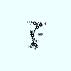 F.F.NC1CCC(N(C(=O)O)c2cc(CCCCn3c(=O)oc4cc(CNC[C@@H](O)c5ccc(O)c6[nH]c(=O)ccc56)ccc43)ccc2-c2ccccc2)CC1